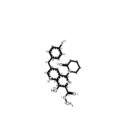 COC(=O)c1nc(N2CCCCC2=O)c2cc(Cc3ccc(F)cc3)cnc2c1O